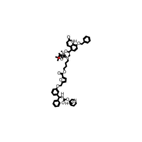 CC(C)(C)OC(=O)N(CCCCOC(=O)c1ccc(COc2cccc(C(NC(=O)O[C@H]3CN4CCC3CC4)c3ccccc3)c2)o1)C[C@@H](O[Si](C)(C)C(C)(C)C)c1ccc(OCc2ccccc2)c2[nH]c(=O)ccc12